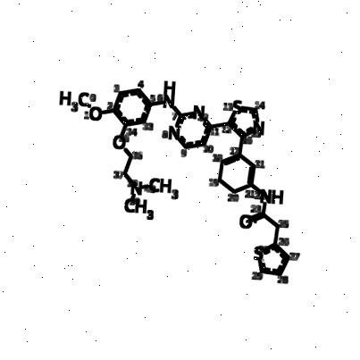 COc1ccc(Nc2nccc(-c3scnc3C3=CCCC(NC(=O)Cc4cccs4)=C3)n2)cc1OCCN(C)C